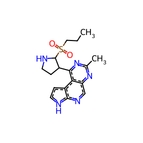 CCCS(=O)(=O)C1NCCC1c1nc(C)nc2cnc3[nH]ccc3c12